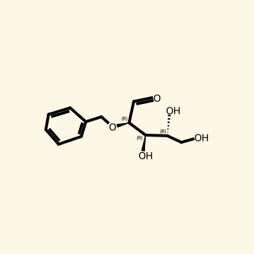 O=C[C@H](OCc1ccccc1)[C@H](O)[C@H](O)CO